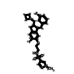 Cn1cc(S(=O)(=O)NCCOc2cc3c(cc2F)CC(CN2CCC2)C3Cc2cccc(F)c2)cn1